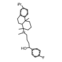 CC(C)c1ccc2c(c1)CCC1C2(C)CCCC1(C)N(C)CCCC(O)c1ccc(F)cc1